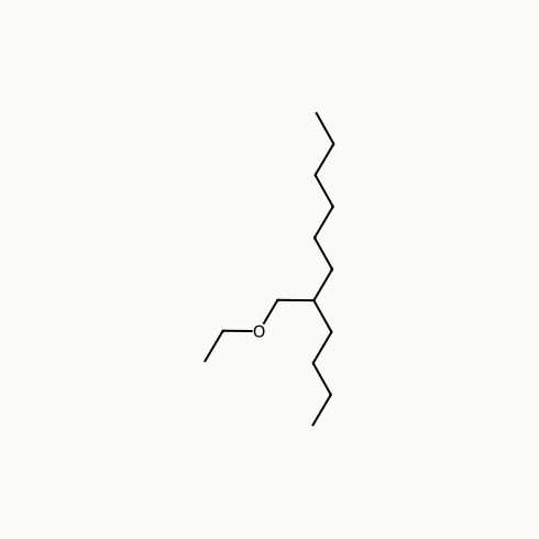 CCCCCCC(CCCC)COCC